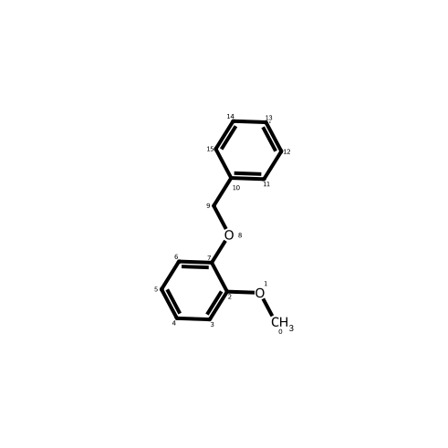 COc1ccccc1OCc1cc[c]cc1